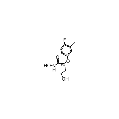 Cc1cc(O[C@H](CCO)C(=O)NO)ccc1F